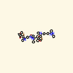 c1ccc(-c2cc(-c3cccc4c3-c3ccccc3C43c4ccccc4Sc4cc5c(-c6ccc(-c7ccc(-c8nc(-c9ccccc9)nc9ccccc89)cc7)cc6)nc6ccccc6c5cc43)c3ccc4ccc(-c5ccc(-c6nc7ccccc7c7cc8c(cc67)Sc6ccccc6C86c7ccccc7-c7ccccc76)cc5)nc4c3n2)cc1